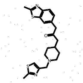 Cc1nc(CN2CCC(CC(=O)Cc3ccc4nc(C)sc4c3)CC2)cs1